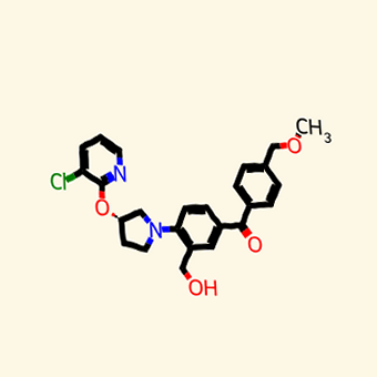 COCc1ccc(C(=O)c2ccc(N3CC[C@H](Oc4ncccc4Cl)C3)c(CO)c2)cc1